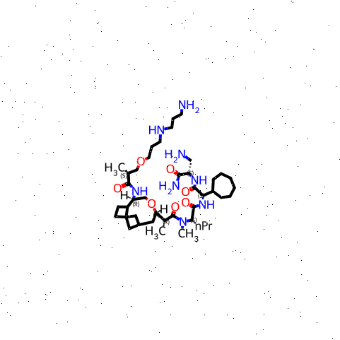 CCC[C@@H](C(=O)N[C@H](C(=O)N[C@@H](CN)C(N)=O)C1CCCCCC1)N(C)C(=O)[C@H](C)[C@H]1CC2CC3(CCC3[C@@H](NC(=O)[C@@H](C)COCCCNCCCN)CO1)C2